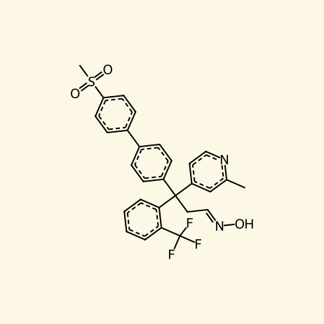 Cc1cc(C(C/C=N/O)(c2ccc(-c3ccc(S(C)(=O)=O)cc3)cc2)c2ccccc2C(F)(F)F)ccn1